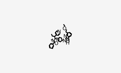 CCOCCc1cccc2[nH]c(NC3CCN(C(C(CC)c4ccncc4)N(C)C(=O)c4ccccc4)CC3)nc12